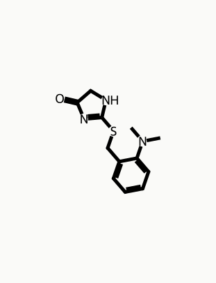 CN(C)c1ccccc1CSC1=NC(=O)CN1